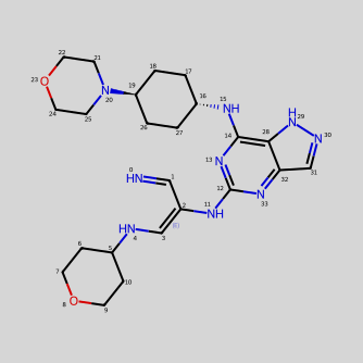 N=C/C(=C\NC1CCOCC1)Nc1nc(N[C@H]2CC[C@H](N3CCOCC3)CC2)c2[nH]ncc2n1